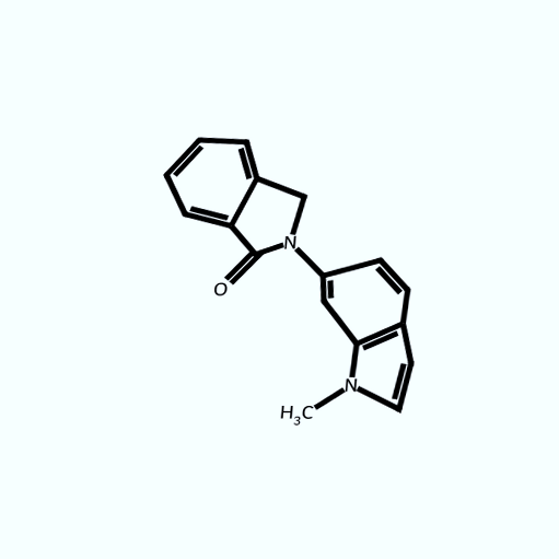 Cn1ccc2ccc(N3Cc4ccccc4C3=O)cc21